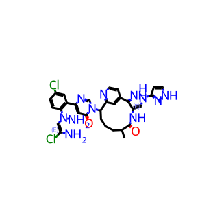 CC1CCCC(n2cnc(-c3cc(Cl)ccc3N(N)/C=C(\N)Cl)cc2=O)c2cc(ccn2)C(=N)/C(=C\Nc2cc[nH]n2)NC1=O